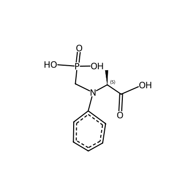 C[C@@H](C(=O)O)N(CP(=O)(O)O)c1ccccc1